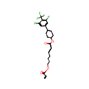 C=CC(=O)OCCCCCCC(=O)OC1CCC(c2cc(F)c(C(F)(F)F)c(F)c2)CC1